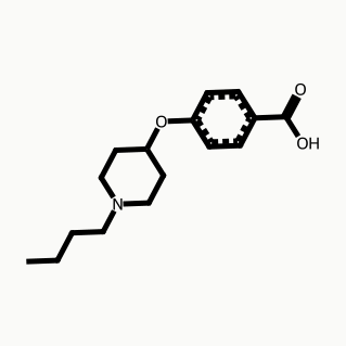 CCCCN1CCC(Oc2ccc(C(=O)O)cc2)CC1